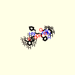 [2H]c1c([2H])c(C([2H])([2H])[2H])c(OC([2H])([2H])C(=O)N[C@@H](Cc2ccccc2)[C@@H](O)C[C@H](Cc2ccccc2)NC(=O)[C@H](C(C)C)N2C(=O)NC([2H])([2H])C([2H])([2H])C2([2H])[2H])c(C([2H])([2H])[2H])c1[2H]